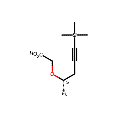 CC[C@@H](CC#C[Si](C)(C)C)OCC(=O)O